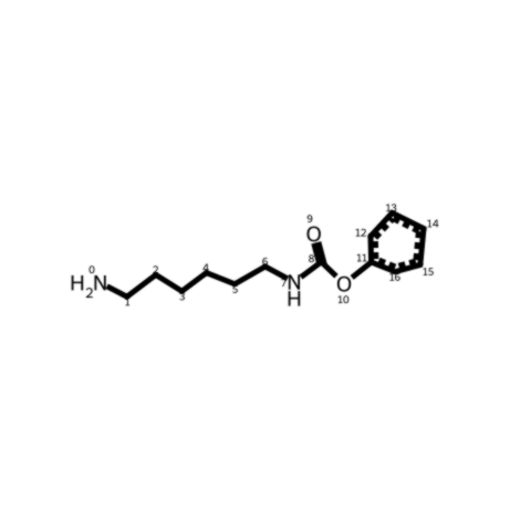 NCCCCCCNC(=O)Oc1ccccc1